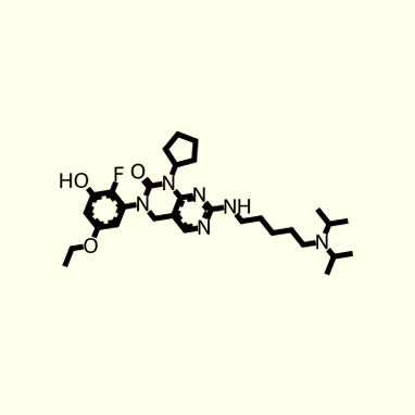 CCOc1cc(O)c(F)c(N2Cc3cnc(NCCCCCN(C(C)C)C(C)C)nc3N(C3CCCC3)C2=O)c1